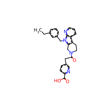 CCc1cccc(Cn2c3c(c4cccnc42)CCN(C(=O)Cc2ccc(C(=O)O)nc2)C3)c1